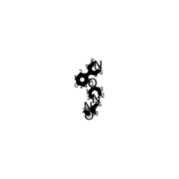 c1ccc(-c2ccncc2)c(OC2CCN(Cc3cocn3)CC2)c1